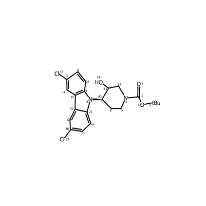 CC(C)(C)OC(=O)N1CC[C@@H](n2c3ccc(Cl)cc3c3cc(Cl)ccc32)C(O)C1